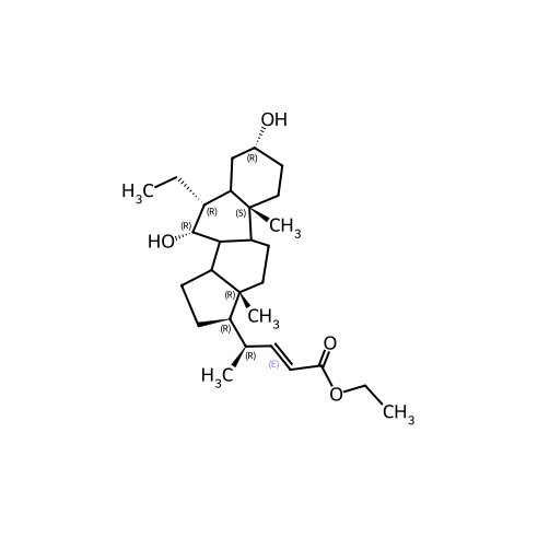 CCOC(=O)/C=C/[C@@H](C)[C@H]1CCC2C3C(CC[C@@]21C)[C@@]1(C)CC[C@@H](O)CC1[C@@H](CC)[C@H]3O